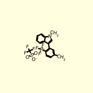 Cc1ccc([P+](F)(F)F)c(-c2cn(C)c3ccccc23)c1.O=S(=O)([O-])C(F)(F)F